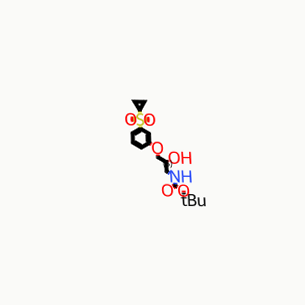 CC(C)(C)OC(=O)NC[C@H](O)COc1cccc(S(=O)(=O)C2CC2)c1